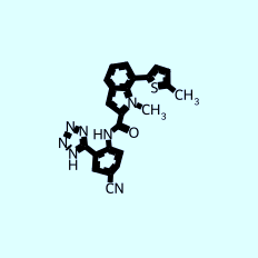 Cc1ccc(-c2cccc3cc(C(=O)Nc4ccc(C#N)cc4-c4nnn[nH]4)n(C)c23)s1